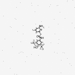 Cc1cc(N)nc(CC(=O)Nc2cc(C(C)(C)C)c(O)c(C(C)(C)C)c2)c1